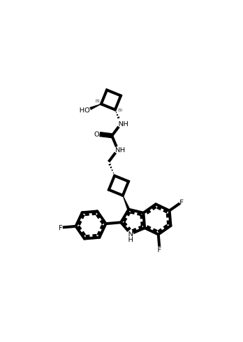 O=C(NC[C@H]1C[C@H](c2c(-c3ccc(F)cc3)[nH]c3c(F)cc(F)cc32)C1)N[C@H]1CC[C@@H]1O